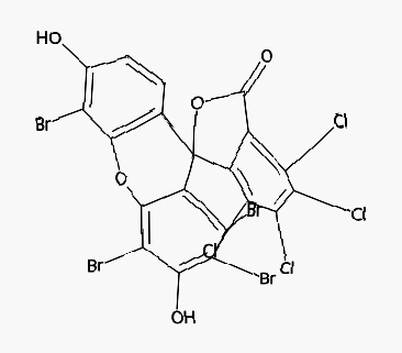 O=C1OC2(c3ccc(O)c(Br)c3Oc3c(Br)c(O)c(Br)c(Br)c32)c2c(Cl)c(Cl)c(Cl)c(Cl)c21